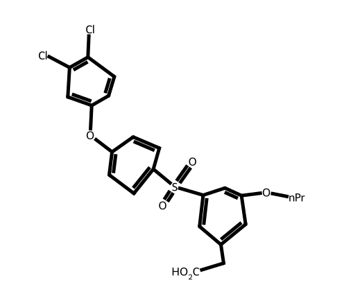 CCCOc1cc(CC(=O)O)cc(S(=O)(=O)c2ccc(Oc3ccc(Cl)c(Cl)c3)cc2)c1